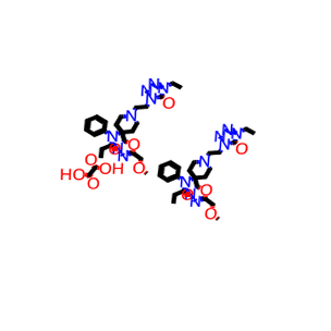 CCC(=O)N(c1ccccc1)C1(c2nnc(COC)o2)CCN(CCn2nnn(CC)c2=O)CC1.CCC(=O)N(c1ccccc1)C1(c2nnc(COC)o2)CCN(CCn2nnn(CC)c2=O)CC1.O=C(O)C(=O)O